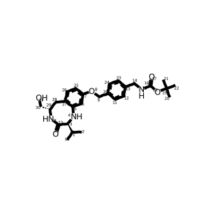 CC(C)[C@@H]1Nc2cc(OCc3ccc(CNC(=O)OC(C)(C)C)cc3)ccc2C[C@@H](CO)NC1=O